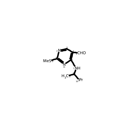 CSc1ncc(C=O)c(NC(C)C(C)C)n1